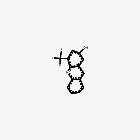 Oc1cc(C(F)(F)F)c2nc3ccccc3cc2c1